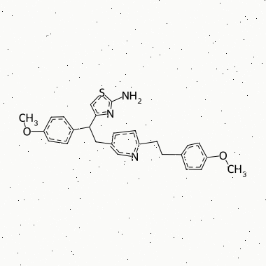 COc1ccc(CCc2ccc(CC(c3ccc(OC)cc3)c3csc(N)n3)cn2)cc1